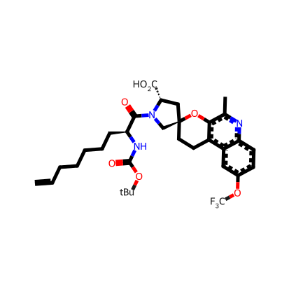 C=CCCCCC[C@H](NC(=O)OC(C)(C)C)C(=O)N1C[C@@]2(CCc3c(c(C)nc4ccc(OC(F)(F)F)cc34)O2)C[C@H]1C(=O)O